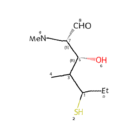 CCC(S)C(C)[C@@H](O)[C@@H](C=O)NC